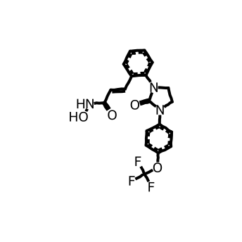 O=C(C=Cc1ccccc1N1CCN(c2ccc(OC(F)(F)F)cc2)C1=O)NO